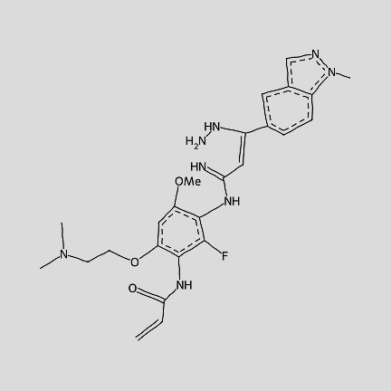 C=CC(=O)Nc1c(OCCN(C)C)cc(OC)c(NC(=N)/C=C(\NN)c2ccc3c(cnn3C)c2)c1F